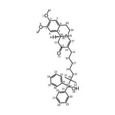 COc1cc2c(cc1OC)[C@H]1CC(=O)C(CCCCCC(C)(C)[Si](O)(c3ccccc3)c3ccccc3)=CN1CC2